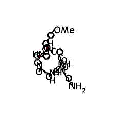 COCc1ccc(-c2ccc(C[C@@H]3NC(=O)[C@]4(Cc5ccccc5)CCCN(C4)C(=O)/C=C/C(=O)NCC[C@@H](C(=O)NCCOCCN)NC(=O)Cc4ccccc4CNC3=O)cc2)cc1